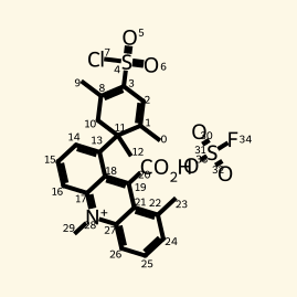 CC1=CC(S(=O)(=O)Cl)=C(C)CC1(C)c1cccc2c1c(C(=O)O)c1c(C)cccc1[n+]2C.O=S(=O)([O-])F